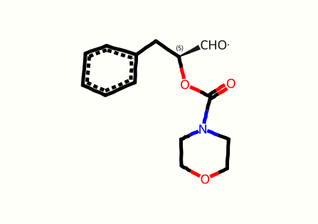 O=[C][C@H](Cc1ccccc1)OC(=O)N1CCOCC1